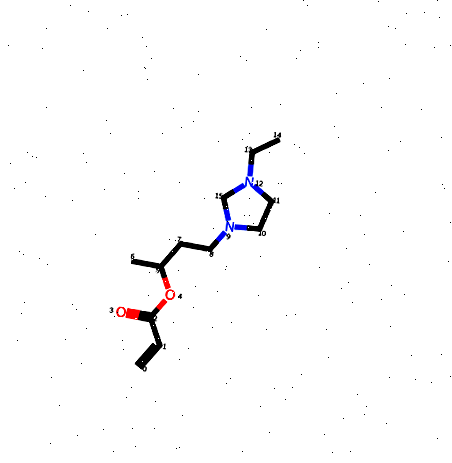 C=CC(=O)OC(C)CCN1CCN(CC)C1